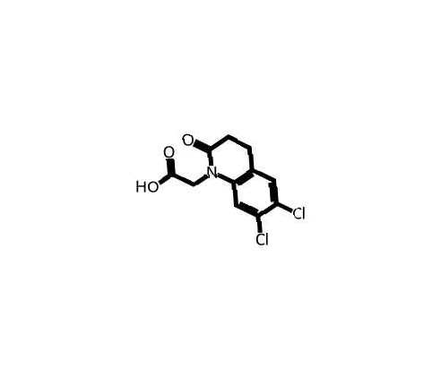 O=C(O)CN1C(=O)CCc2cc(Cl)c(Cl)cc21